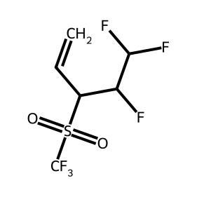 C=CC(C(F)C(F)F)S(=O)(=O)C(F)(F)F